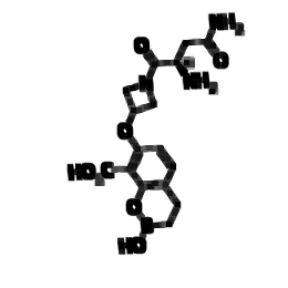 NC(=O)C[C@@H](N)C(=O)N1CC(Oc2ccc3c(c2C(=O)O)OB(O)CC3)C1